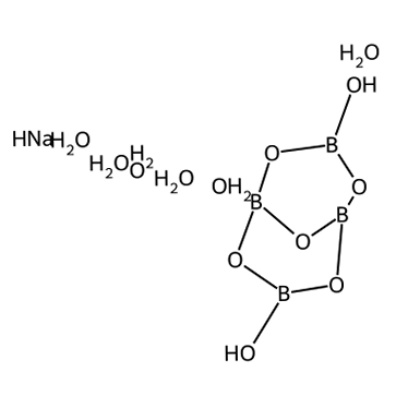 O.O.O.O.O.O.OB1OB2OB(O)OB(O1)O2.[NaH]